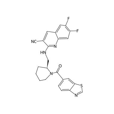 N#Cc1cc2cc(F)c(F)cc2nc1NC[C@@H]1CCCCN1C(=O)c1ccc2ncsc2c1